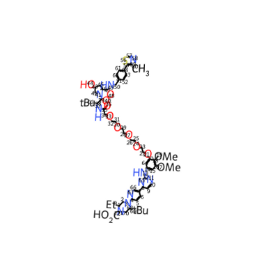 CCC1CN(c2ccc(-c3ccnc(Nc4cc(OC)c(OC)c(OCCOCCOCCOCCOCC(=O)N[C@H](C(=O)N5C[C@H](O)C[C@H]5C(=O)NCc5ccc(-c6scnc6C)cc5)C(C)(C)C)c4)n3)cn2)C(C(C)(C)C)CN1C(=O)O